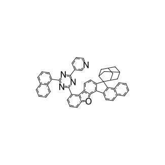 c1cncc(-c2nc(-c3cccc4ccccc34)nc(-c3cccc4oc5c6c(ccc5c34)C3(c4c-6ccc5ccccc45)C4CC5CC(C4)CC3C5)n2)c1